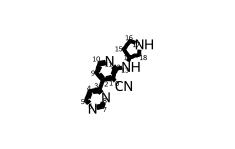 N#Cc1c(-c2ccncn2)ccnc1NC1CCNC1